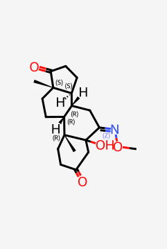 CO/N=C1/C[C@@H]2[C@@H](CC[C@]3(C)C(=O)CC[C@@H]23)[C@@]2(C)CCC(=O)CC12O